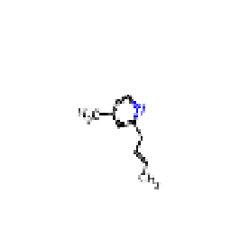 C/C=C/Cc1cc(C)ccn1